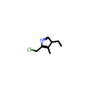 CCC1C=NC(CCl)=C1C